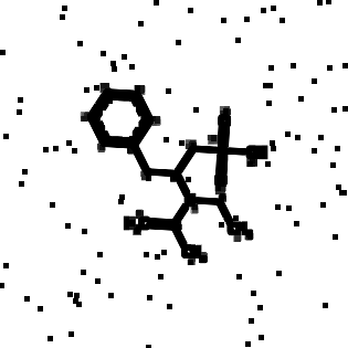 C=C(C)N(CC)C(Cc1ccccc1)CS(=O)(=O)O